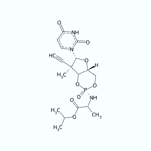 C#C[C@]1(C)C2O[P@@](=O)(NC(C)C(=O)OC(C)C)OC[C@H]2O[C@H]1n1ccc(=O)[nH]c1=O